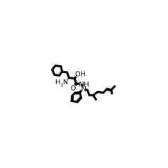 CC(C)=CCCC(C)CCN(NC(=O)C(O)[C@H](N)CC1CCCCC1)c1ccccc1